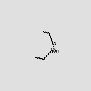 CCCC/C=C\CCCCCCCC(=O)OC[C@H](CO)OC(=O)CCCCCCC/C=C\CCCCCC